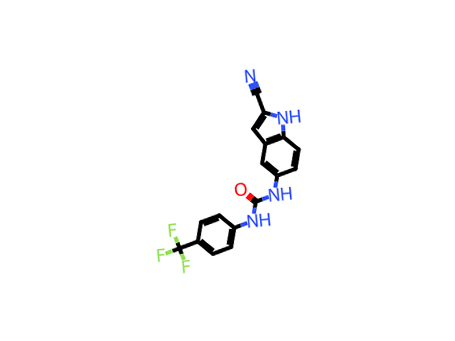 N#Cc1cc2cc(NC(=O)Nc3ccc(C(F)(F)F)cc3)ccc2[nH]1